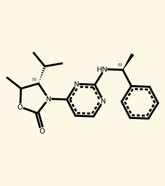 CC(C)[C@H]1C(C)OC(=O)N1c1ccnc(N[C@@H](C)c2ccccc2)n1